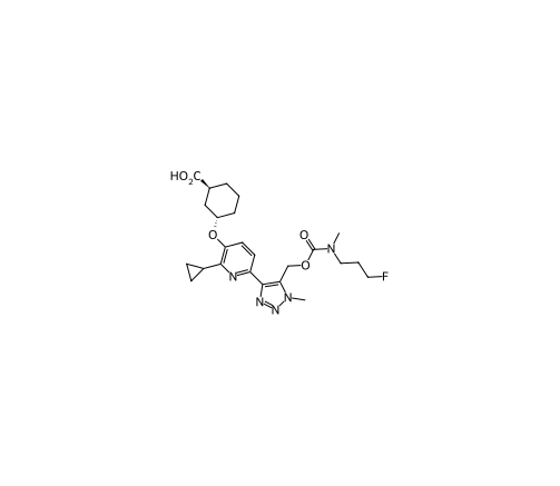 CN(CCCF)C(=O)OCc1c(-c2ccc(O[C@H]3CCC[C@H](C(=O)O)C3)c(C3CC3)n2)nnn1C